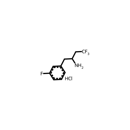 Cl.NC(Cc1cccc(F)c1)CC(F)(F)F